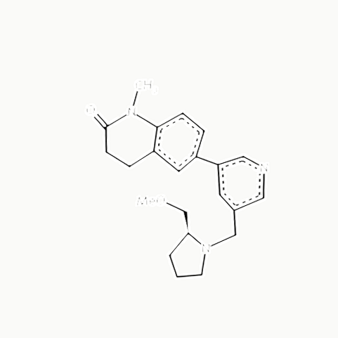 COC[C@@H]1CCCN1Cc1cncc(-c2ccc3c(c2)CCC(=O)N3C)c1